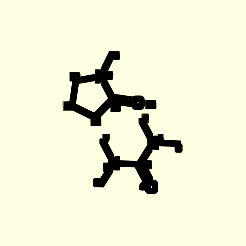 CN(C)C(=O)N(C)C.CN1CCCC1=O